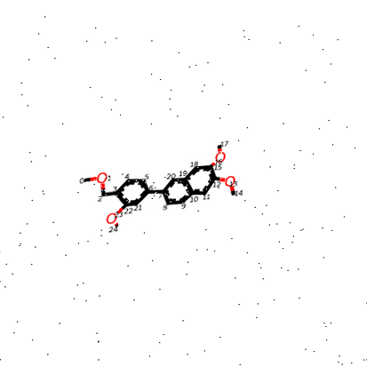 COCc1ccc(-c2ccc3cc(OC)c(OC)cc3c2)cc1OC